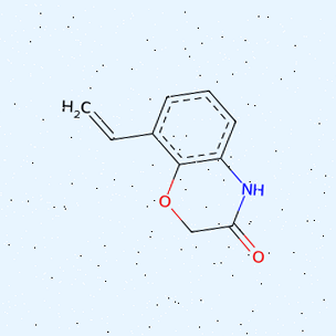 C=Cc1cccc2c1OCC(=O)N2